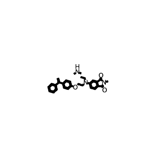 C=C(c1ccccc1)c1ccc(OCCN(CC)c2ccc3c(c2)C(=O)N(C)C3=O)cc1.CNC